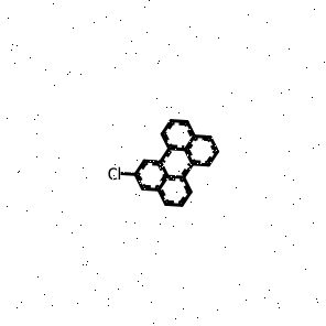 Clc1cc2cccc3c4cccc5cccc(c(c1)c23)c54